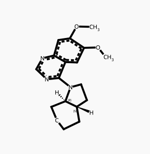 COc1cc2ncnc(N3CC[C@@H]4CCCC[C@H]43)c2cc1OC